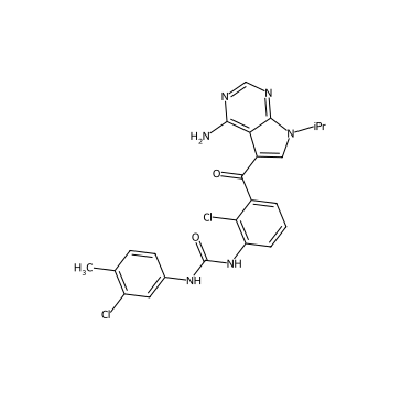 Cc1ccc(NC(=O)Nc2cccc(C(=O)c3cn(C(C)C)c4ncnc(N)c34)c2Cl)cc1Cl